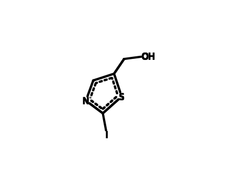 OCc1cnc(I)s1